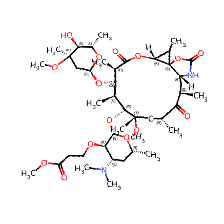 COC(=O)CCO[C@H]1[C@H](O[C@@H]2[C@@H](C)[C@H](O[C@H]3C[C@@](C)(OC)[C@@H](O)[C@H](C)O3)[C@@H](C)C(=O)O[C@@H]3C(C)[C@@]34OC(=O)N[C@@H]4[C@@H](C)C(=O)[C@H](C)C[C@]2(C)OC)O[C@H](C)C[C@@H]1N(C)C